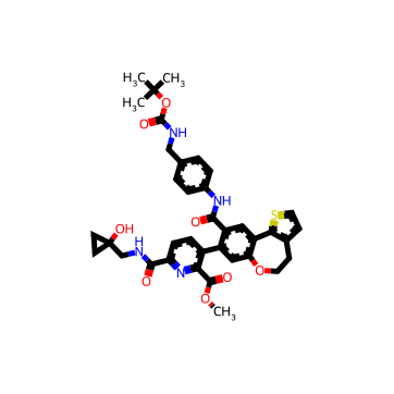 COC(=O)c1nc(C(=O)NCC2(O)CC2)ccc1-c1cc2c(cc1C(=O)Nc1ccc(CNC(=O)OC(C)(C)C)cc1)-c1sccc1CCO2